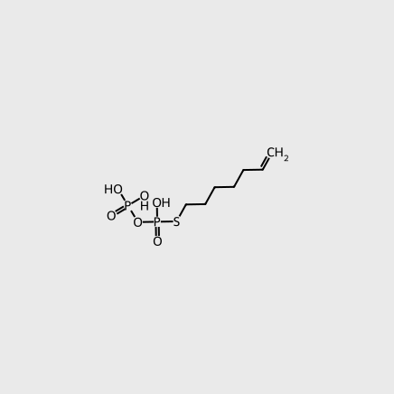 C=CCCCCCSP(=O)(O)OP(=O)(O)O